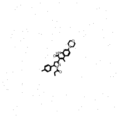 CCC(=O)N1N=C(c2c(C)c3ccc(N4CCOCC4)cc3[nH]c2=O)CC1c1ccc(C)cc1